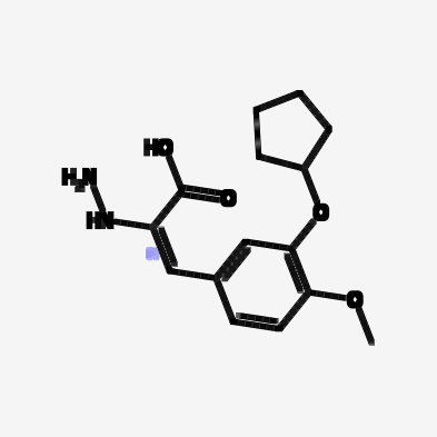 COc1ccc(/C=C(/NN)C(=O)O)cc1OC1CCCC1